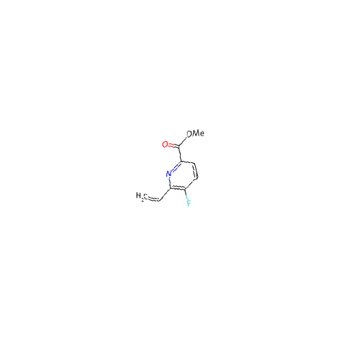 C=Cc1nc(C(=O)OC)ccc1F